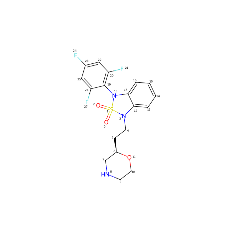 O=S1(=O)N(CC[C@@H]2CNCCO2)c2ccccc2N1c1c(F)cc(F)cc1F